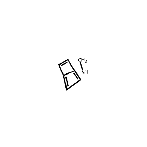 CS.c1cc2ccc1-2